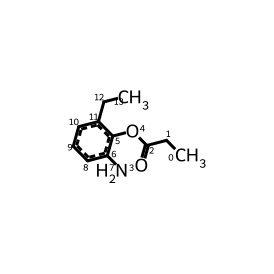 CCC(=O)Oc1c(N)cccc1CC